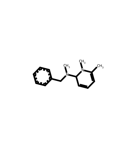 CC1=CC=CC(N(C)Cc2ccccc2)N1C